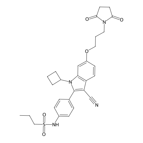 CCCS(=O)(=O)Nc1ccc(-c2c(C#N)c3ccc(OCCCN4C(=O)CCC4=O)cc3n2C2CCC2)cc1